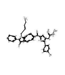 NCCCCn1c(-c2ccccc2)c(F)c2ccc(C(=O)c3cc(CC(=O)NO)c(-c4ccc(O)cc4)s3)cc21